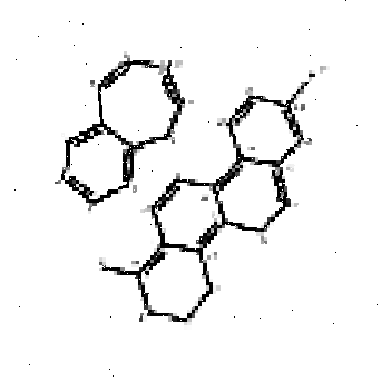 C1=Cc2ccccc2CC=N1.CC1=c2ccc3c(c2CCC1)CC=c1cc(F)ccc1=3